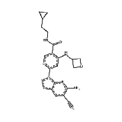 N#Cc1cc2cnn(-c3cc(NC4COC4)c(C(=O)NCCC4CC4)cn3)c2nc1N